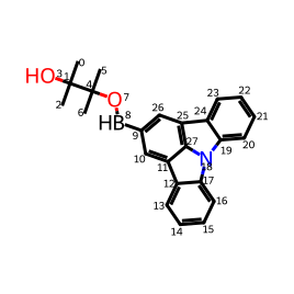 CC(C)(O)C(C)(C)OBc1cc2c3ccccc3n3c4ccccc4c(c1)c23